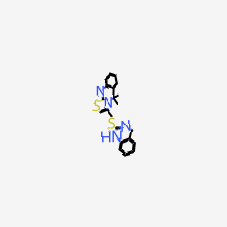 CC1(C)c2ccccc2N=C2SC=C(CSC3=NCc4ccccc4N3)N21